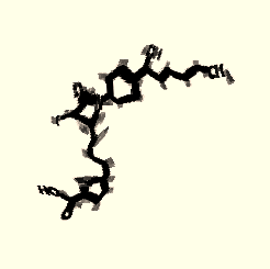 CCCCCC(O)c1ccc(N2C(=O)C(F)[C@@H]2CCCc2ccc(C(=O)O)s2)cc1